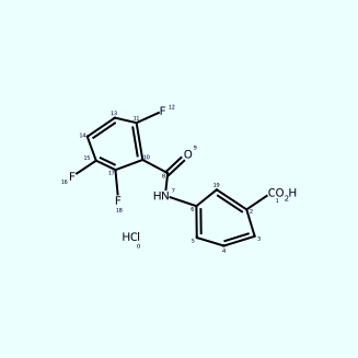 Cl.O=C(O)c1cccc(NC(=O)c2c(F)ccc(F)c2F)c1